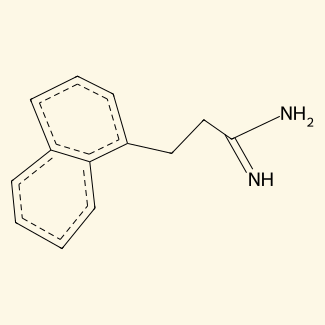 N=C(N)CCc1cccc2ccccc12